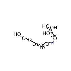 C[C@H](OC/C=C\COCc1cn(CCOCCOCCOCCO)nn1)OCC(O)[C@H](O)CO